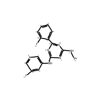 CC(C)Nc1nc(Nc2cncc(F)c2)nc(-c2ccccc2F)n1